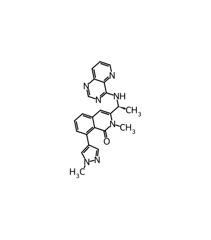 C[C@H](Nc1ncnc2cccnc12)c1cc2cccc(-c3cnn(C)c3)c2c(=O)n1C